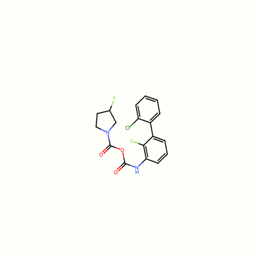 O=C(Nc1cccc(-c2ccccc2Cl)c1F)OC(=O)N1CCC(F)C1